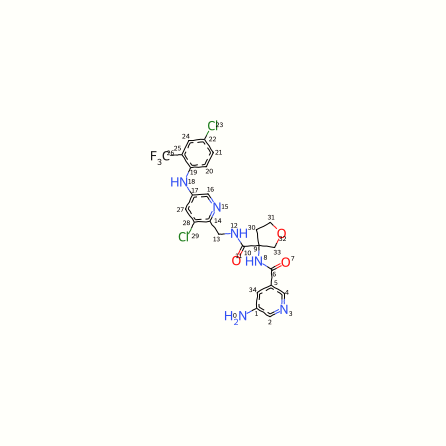 Nc1cncc(C(=O)NC2(C(=O)NCc3ncc(Nc4ccc(Cl)cc4C(F)(F)F)cc3Cl)CCOC2)c1